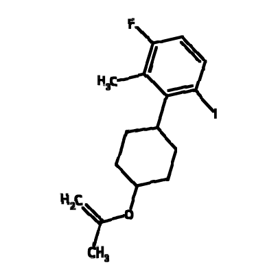 C=C(C)OC1CCC(c2c(I)ccc(F)c2C)CC1